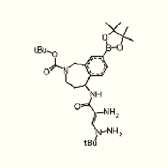 CC(C)(C)OC(=O)N1CCC(NC(=O)/C(N)=C/N(N)C(C)(C)C)c2ccc(B3OC(C)(C)C(C)(C)O3)cc2C1